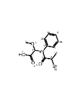 COC(C(=O)O)N(C(=O)C(C)Br)c1ccccc1